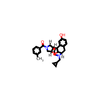 Cc1cccc(C(=O)N2C[C@H]3O[C@@]45CC[C@@H]2[C@@H]3[C@@]42CCN(CC3CC3)[C@@H]5Cc3ccc(O)cc32)c1